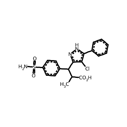 CC(C(=O)O)C(c1ccc(S(N)(=O)=O)cc1)c1n[nH]c(-c2ccccc2)c1Cl